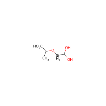 CC(O[SiH2]C(O)O)C(=O)O